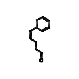 O=CCC/C=C\c1ccccc1